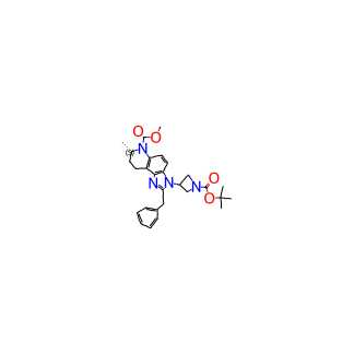 COC(=O)N1c2ccc3c(nc(Cc4ccccc4)n3C3CN(C(=O)OC(C)(C)C)C3)c2CC[C@@H]1C